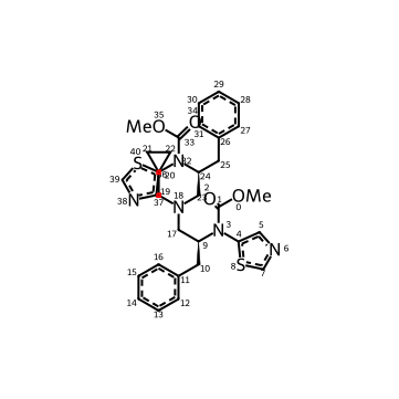 COC(=O)N(c1cncs1)[C@@H](Cc1ccccc1)CN(CC1CC1)C[C@H](Cc1ccccc1)N(C(=O)OC)c1cncs1